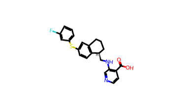 O=C(O)c1ccncc1NC[C@@H]1CCCc2cc(Sc3cccc(F)c3)ccc21